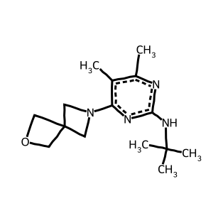 Cc1nc(NC(C)(C)C)nc(N2CC3(COC3)C2)c1C